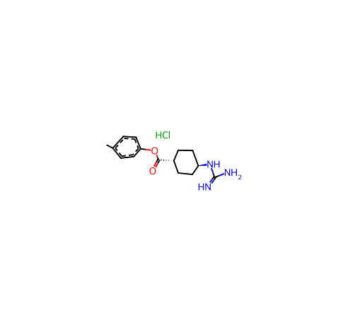 Cc1ccc(OC(=O)[C@H]2CC[C@H](NC(=N)N)CC2)cc1.Cl